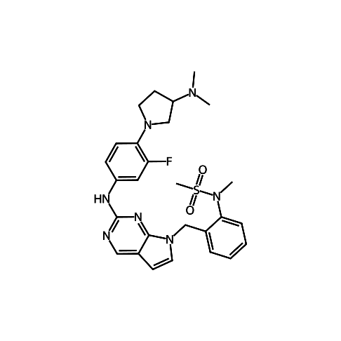 CN(C)C1CCN(c2ccc(Nc3ncc4ccn(Cc5ccccc5N(C)S(C)(=O)=O)c4n3)cc2F)C1